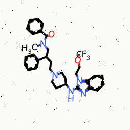 CN(CC(CCN1CCC(Nc2nc3ccccc3n2CCOC(F)(F)F)CC1)c1ccccc1)C(=O)c1ccccc1